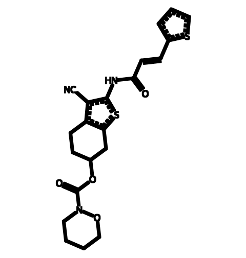 N#Cc1c(NC(=O)C=Cc2cccs2)sc2c1CCC(OC(=O)N1CCCCO1)C2